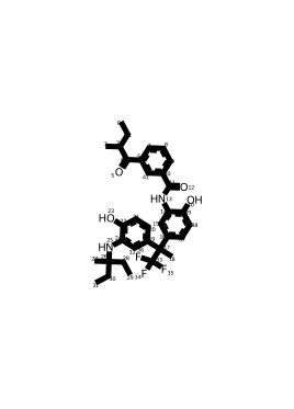 CCC(C)C(=O)c1cccc(C(=O)Nc2cc(C(C)(c3ccc(O)c(NC(C)(CC)CC)c3)C(F)(F)F)ccc2O)c1